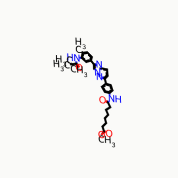 COC(=O)CCCCCCC(=O)Nc1ccc(-c2ccc3nc(-c4ccc(C)c(NC(=O)C(C)(C)C)c4)cn3n2)cc1